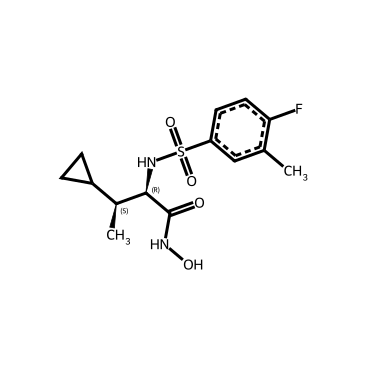 Cc1cc(S(=O)(=O)N[C@@H](C(=O)NO)[C@@H](C)C2CC2)ccc1F